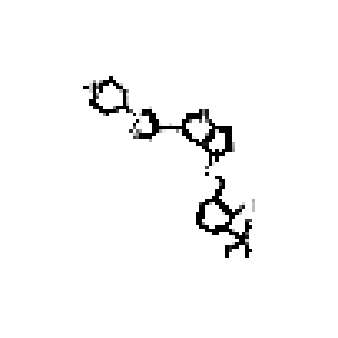 FC(F)(F)c1cccc(COn2ccc3ncc(-c4cnn(C5CCNCC5)c4)cc32)c1Cl